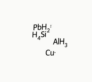 [AlH3].[Cu].[PbH2].[SiH4]